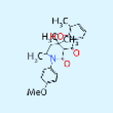 COc1ccc(N2C(=O)C(C(=O)c3cccc(C)c3O)C(C)(C)CC2C)cc1